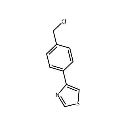 ClCc1ccc(-c2cscn2)cc1